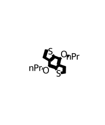 CCCOc1c2ccsc2c(OCCC)c2ccsc12